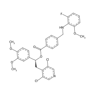 COc1ccc([C@H](Cc2c(Cl)cncc2Cl)OC(=O)c2ccc(CNc3c(F)cccc3OC)cc2)cc1OC